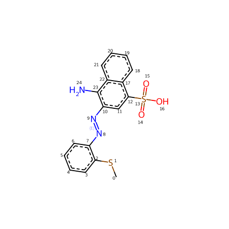 CSc1ccccc1/N=N/c1cc(S(=O)(=O)O)c2ccccc2c1N